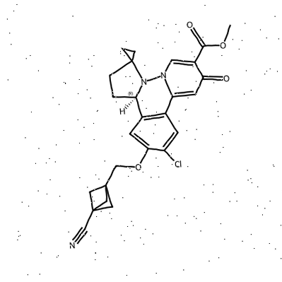 COC(=O)c1cn2c(cc1=O)-c1cc(Cl)c(OCC34CC(C#N)(C3)C4)cc1[C@H]1CCC3(CC3)N12